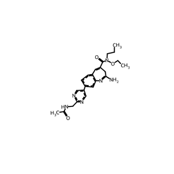 CCCN(OCC)C(=O)C1=Cc2ccc(-c3cnc(CNC(C)=O)nc3)cc2N=C(N)C1